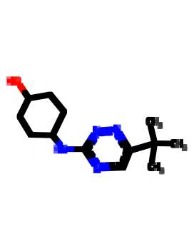 CC(C)(C)c1cnc(NC2CCC(O)CC2)nn1